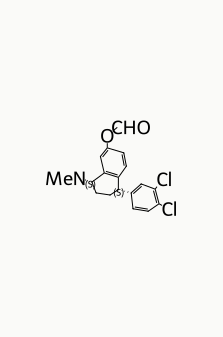 CN[C@H]1CC[C@@H](c2ccc(Cl)c(Cl)c2)c2ccc(OC=O)cc21